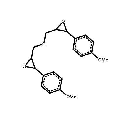 COc1ccc(C2OC2COCC2OC2c2ccc(OC)cc2)cc1